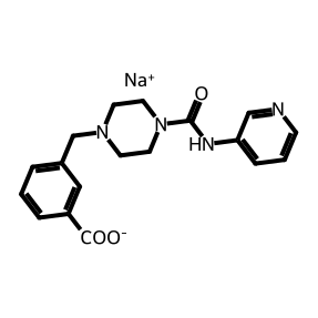 O=C([O-])c1cccc(CN2CCN(C(=O)Nc3cccnc3)CC2)c1.[Na+]